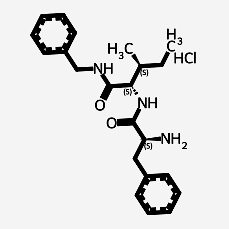 CC[C@H](C)[C@H](NC(=O)[C@@H](N)Cc1ccccc1)C(=O)NCc1ccccc1.Cl